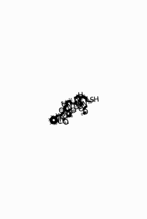 COC(=O)CN1C(=O)[C@@H]2[C@@H](C=C[C@H]1CS)CCN2C(=O)[C@@H]1CC[C@H]2C=C[C@]3(CCCN3C(=O)[C@H](Cc3ccccc3Cl)NC=O)C(=O)N21